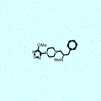 CN[C@H](Cc1ccccc1)CN1CCN(c2nsnc2OC)CC1